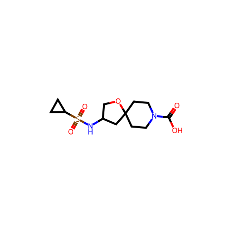 O=C(O)N1CCC2(CC1)CC(NS(=O)(=O)C1CC1)CO2